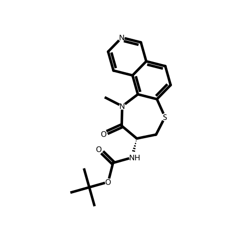 CN1C(=O)[C@@H](NC(=O)OC(C)(C)C)CSc2ccc3cnccc3c21